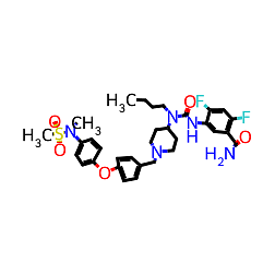 CCCCN(C(=O)Nc1cc(C(N)=O)c(F)cc1F)C1CCN(Cc2ccc(Oc3ccc(N(C)S(C)(=O)=O)cc3)cc2)CC1